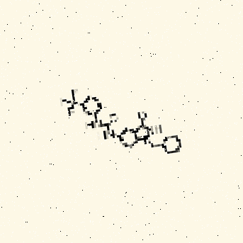 O=C(Nc1cccc(C(F)(F)F)c1)Nc1ccc2c(c1)c(=O)[nH]n2Cc1ccccc1